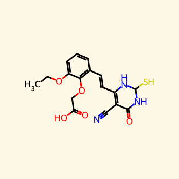 CCOc1cccc(/C=C/C2=C(C#N)C(=O)NC(S)N2)c1OCC(=O)O